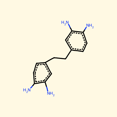 Nc1ccc(CCc2ccc(N)c(N)c2)cc1N